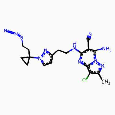 Cc1nn2c(N)c(C#N)c(NCCc3ccn(C4(CCN=[N+]=[N-])CC4)n3)nc2c1Cl